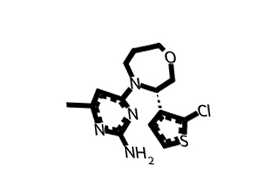 Cc1cc(N2CCCOC[C@@H]2c2ccsc2Cl)nc(N)n1